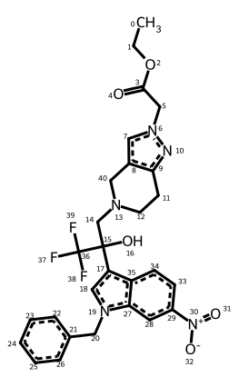 CCOC(=O)Cn1cc2c(n1)CCN(CC(O)(c1cn(Cc3ccccc3)c3cc([N+](=O)[O-])ccc13)C(F)(F)F)C2